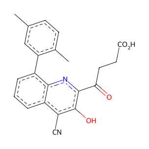 Cc1ccc(C)c(-c2cccc3c(C#N)c(O)c(C(=O)CCC(=O)O)nc23)c1